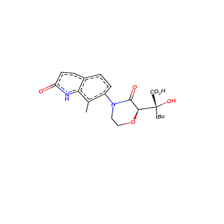 Cc1c(N2CCO[C@H]([C@@](O)(C(=O)O)C(C)(C)C)C2=O)ccc2ccc(=O)[nH]c12